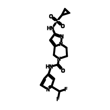 O=C(Nc1ccnc(C(F)F)c1)N1CCn2nc(NS(=O)(=O)C3CC3)cc2C1